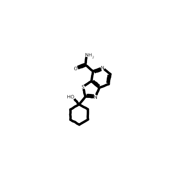 NC(=O)c1nccc2nc(C3(O)CCCCC3)sc12